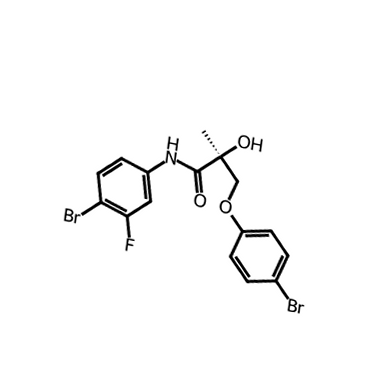 C[C@](O)(COc1ccc(Br)cc1)C(=O)Nc1ccc(Br)c(F)c1